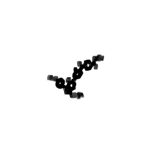 CCOC(=O)c1nn(-c2ccc(OC)cc2)c2c1CCN(c1ccc(C(=O)N3CCN(C(=O)OC(C)(C)C)CC3)c(C)c1)C2=O